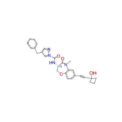 CN1C(=O)[C@@H](NC(=O)n2cc(Cc3ccccc3)cn2)COc2ccc(C#CC3(O)CCC3)cc21